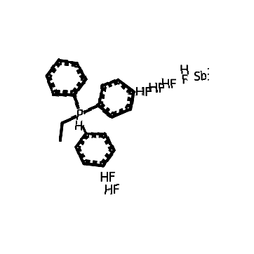 CC[PH](c1ccccc1)(c1ccccc1)c1ccccc1.F.F.F.F.F.F.[Sb]